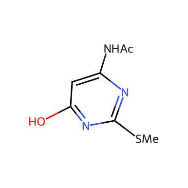 CSc1nc(O)cc(NC(C)=O)n1